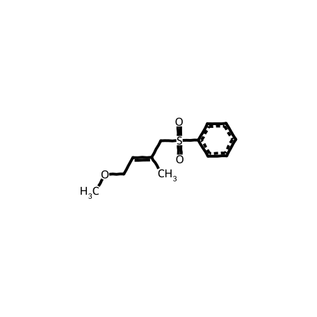 COC/C=C(\C)CS(=O)(=O)c1ccccc1